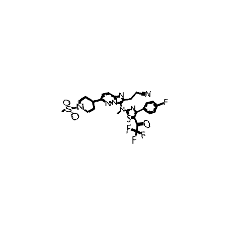 CN(c1nc(-c2ccc(F)cc2)c(C(=O)C(F)(F)F)s1)c1c(CCC#N)nc2ccc(C3CCN(S(C)(=O)=O)CC3)nn12